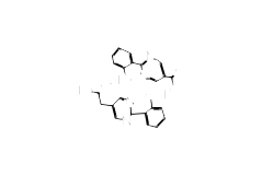 O=C(O)Cc1cnc(-c2ccccc2O)nc1.O=C(O)c1cnc(-c2ccccc2O)nc1